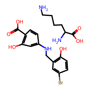 NCCCCC(N)C(=O)O.O=C(O)c1ccc(NCc2cc(Br)ccc2O)cc1O